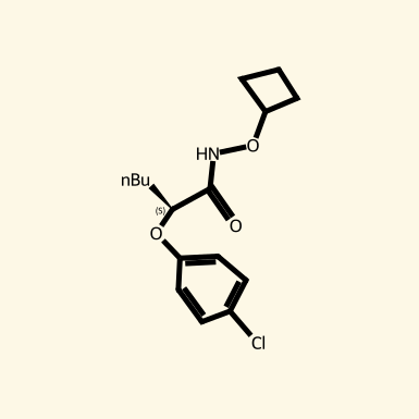 CCCC[C@H](Oc1ccc(Cl)cc1)C(=O)NOC1CCC1